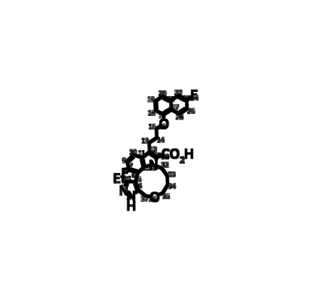 CCc1n[nH]c2c1-c1c(F)ccc3c(CCCOc4cccc5cc(F)ccc45)c(C(=O)O)n(c13)CCCCOC2